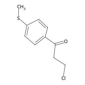 CSc1ccc(C(=O)CCCl)cc1